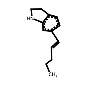 CCCC=Cc1ccc2c(c1)NCC2